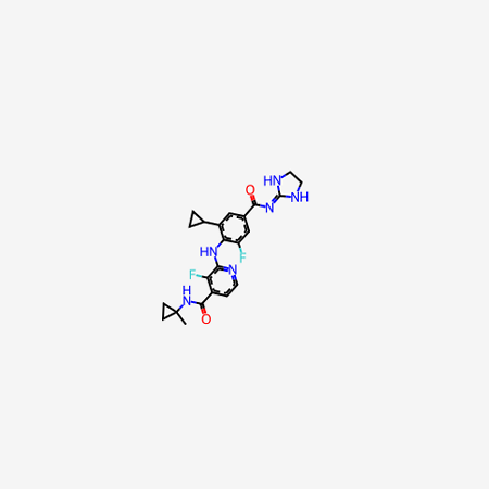 CC1(NC(=O)c2ccnc(Nc3c(F)cc(C(=O)N=C4NCCN4)cc3C3CC3)c2F)CC1